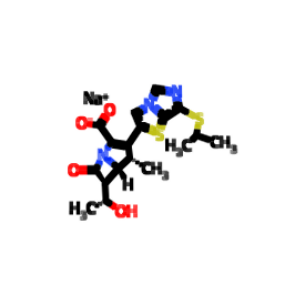 CC(C)Sc1ncn2cc(C3=C(C(=O)[O-])N4C(=O)[C@H]([C@@H](C)O)[C@H]4[C@H]3C)sc12.[Na+]